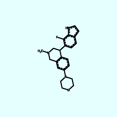 CN1Cc2cc(N3CCOCC3)ccc2C(c2ccc3cc[nH]c3c2F)C1